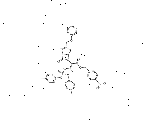 CC(OP(=O)(Oc1ccc(C)cc1)Oc1ccc(C)cc1)=C(C(=O)OCc1ccc([N+](=O)[O-])cc1)N1C(=O)C2N=C(COc3ccccc3)SC21